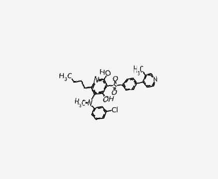 CCCCc1nc(O)c(S(=O)(=O)c2ccc(-c3ccncc3C)cc2)c(O)c1N(C)c1cccc(Cl)c1